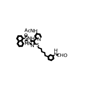 CC(=O)Nc1ccnc(-c2c(SCCCCCc3cccc(NC=O)c3)n[nH]c2NS(=O)(=O)c2cccc3ccccc23)c1